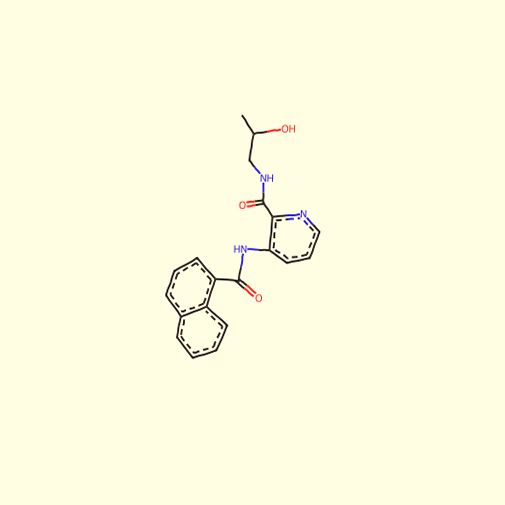 CC(O)CNC(=O)c1ncccc1NC(=O)c1cccc2ccccc12